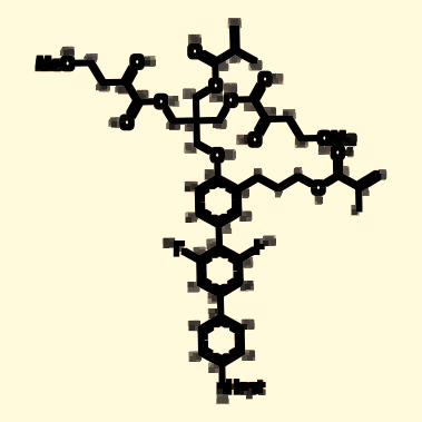 C=C(C)C(=O)OCCCc1cc(-c2c(F)cc(-c3ccc(CCCCCCC)cc3)cc2F)ccc1OCC(COC(=O)C(=C)C)(COC(=O)C(=O)CCOC)COC(=O)C(=O)CCOC